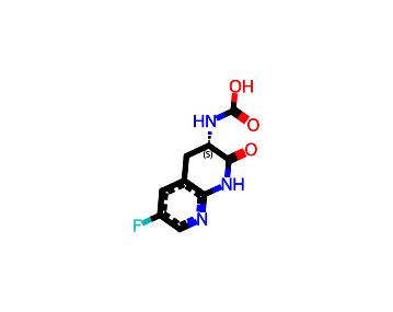 O=C(O)N[C@H]1Cc2cc(F)cnc2NC1=O